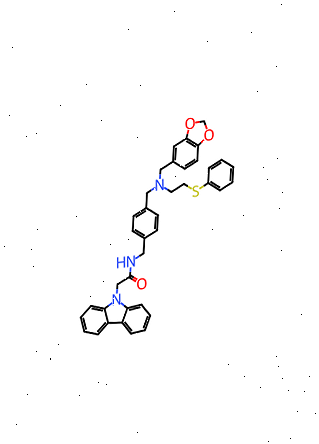 O=C(Cn1c2ccccc2c2ccccc21)NCc1ccc(CN(CCSc2ccccc2)Cc2ccc3c(c2)OCO3)cc1